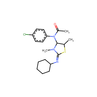 CC(=O)N(c1ccc(Cl)cc1)C1C(C)SC(=NC2CCCCC2)N1C